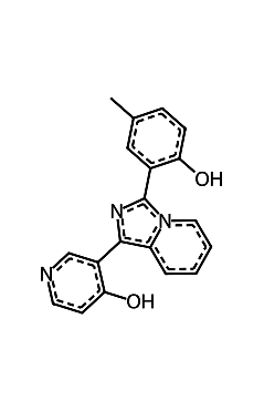 Cc1ccc(O)c(-c2nc(-c3cnccc3O)c3ccccn23)c1